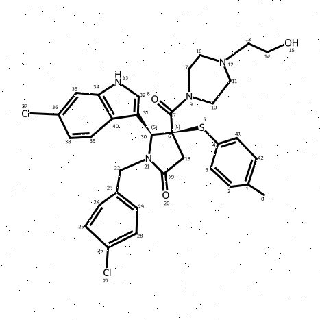 Cc1ccc(S[C@@]2(C(=O)N3CCN(CCO)CC3)CC(=O)N(Cc3ccc(Cl)cc3)[C@H]2c2c[nH]c3cc(Cl)ccc23)cc1